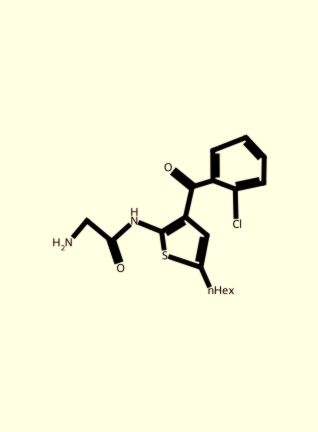 CCCCCCc1cc(C(=O)c2ccccc2Cl)c(NC(=O)CN)s1